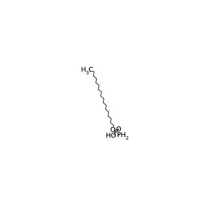 CCCCCCCCCCCCCCCCCCOP(=O)(O)P